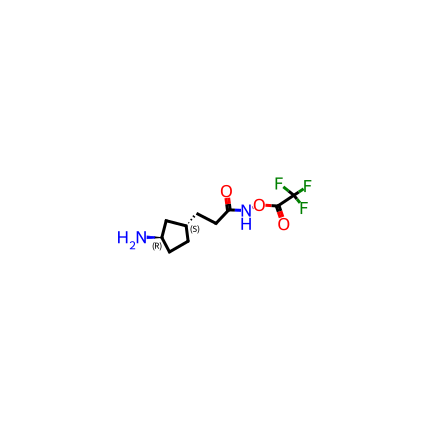 N[C@@H]1CC[C@@H](CCC(=O)NOC(=O)C(F)(F)F)C1